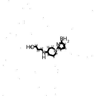 Bc1cccc(N2CCCC(NCCCO)CC2)n1